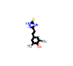 CC(C)(C)c1cc(/C=C/c2n[nH]c(=S)[nH]2)cc(C(C)(C)C)c1O